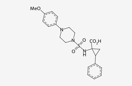 COc1ccc(N2CCN(S(=O)(=O)NC3(C(=O)O)CC3c3ccccc3)CC2)cc1